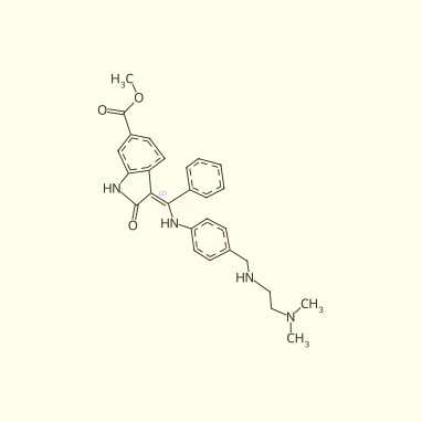 COC(=O)c1ccc2c(c1)NC(=O)/C2=C(\Nc1ccc(CNCCN(C)C)cc1)c1ccccc1